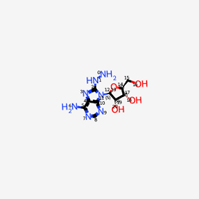 NNc1nc2c(N)ncnc2n1[C@H]1O[C@@H](CO)[C@H](O)[C@@H]1O